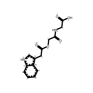 O=C(O)CNC(=O)COC(=O)Cc1c[nH]c2ccccc12